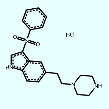 Cl.O=S(=O)(c1ccccc1)c1c[nH]c2ccc(CCN3CCNCC3)cc12